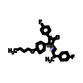 C=C(/C=C/[C@H]1C(=O)N(c2ccc(F)cc2)[C@@H]1c1ccc(OCCCC)cc1)c1ccc(F)cc1